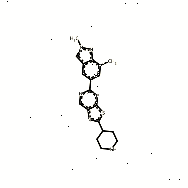 Cc1cc(-c2ncc3nc(C4CCNCC4)sc3n2)cc2cn(C)nc12